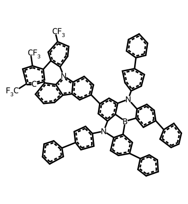 FC(F)(F)c1ccc(-n2c3ccccc3c3cc(-c4cc5c6c(c4)N(c4ccc(-c7ccccc7)cc4)c4ccc(-c7ccccc7)cc4B6c4cc(-c6ccccc6)ccc4N5c4ccc(-c5ccccc5)cc4)ccc32)c(-c2ccc(C(F)(F)F)cc2C(F)(F)F)c1